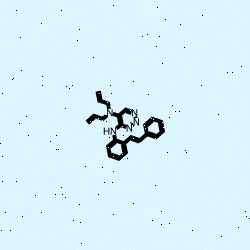 C=CCN(CC=C)c1cnnnc1Nc1ccccc1/C=C/c1ccccc1